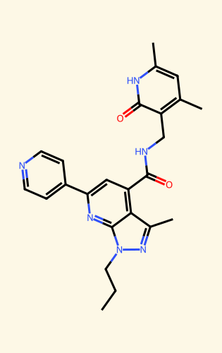 CCCn1nc(C)c2c(C(=O)NCc3c(C)cc(C)[nH]c3=O)cc(-c3ccncc3)nc21